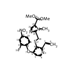 C=Cc1nccc(Oc2ccc([N+](=O)[O-])cc2F)c1SCc1ncc(C(OC)OC)n1C